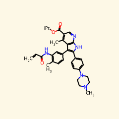 C=CC(=O)Nc1cc(-c2c(-c3ccc(N4CCN(C)CC4)cc3)[nH]c3ncc(C(=O)OC(C)C)c(C)c23)ccc1C